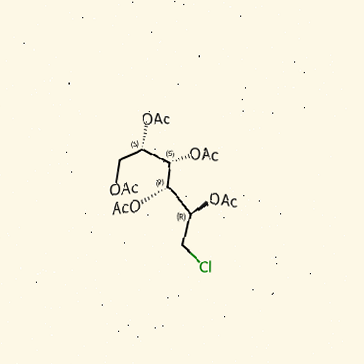 CC(=O)OC[C@H](OC(C)=O)[C@H](OC(C)=O)[C@@H](OC(C)=O)[C@H](CCl)OC(C)=O